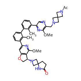 COc1nc(-c2cccc(-c3cccc(-c4cc5c(c(OC)n4)[C@@H](N4CC6(CCC(=O)N6)C4)CO5)c3C)c2C)cnc1CN1CC2(C1)CN(C(C)=O)C2